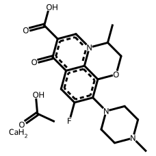 CC(=O)O.CC1COc2c(N3CCN(C)CC3)c(F)cc3c(=O)c(C(=O)O)cn1c23.[CaH2]